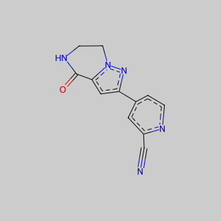 N#Cc1cc(-c2cc3n(n2)CCNC3=O)ccn1